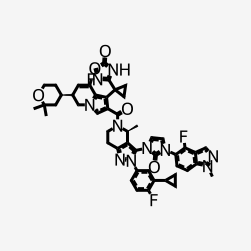 C[C@H]1c2c(nn(-c3ccc(F)c(C4CC4)c3)c2-n2ccn(-c3ccc4c(cnn4C)c3F)c2=O)CCN1C(=O)c1cn2c(c1C1(c3noc(=O)[nH]3)CC1)C(F)=CC([C@@H]1CCOC(C)(C)C1)C2